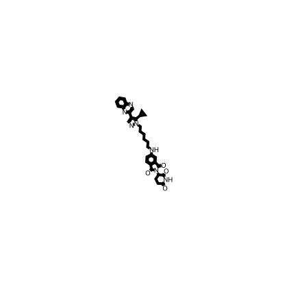 O=C1CCC(N2C(=O)c3ccc(NCCCCCCn4ncc(-c5cnc6ccccc6n5)c4C4CC4)cc3C2=O)C(=O)N1